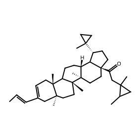 C/C=C/C1=CC[C@]2(C)C3CC[C@@H]4C5[C@H](C6(C)CC6)CC[C@]5(C(=O)CC5(C)CC5C)CC[C@@]4(C)[C@]3(C)CC[C@@]2(C)C1